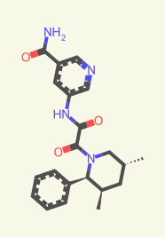 C[C@@H]1C[C@@H](C)[C@@H](c2ccccc2)N(C(=O)C(=O)Nc2cncc(C(N)=O)c2)C1